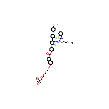 CCCc1ccc(-c2ccc(-c3ccc(-c4ccc(OC(=O)c5ccc6cc(OCCCCCCOCC7(CC)COC7)ccc6c5)cc4)c(F)c3/C=N/N(CCCCC#N)c3nc4ccccc4s3)c(F)c2)cc1